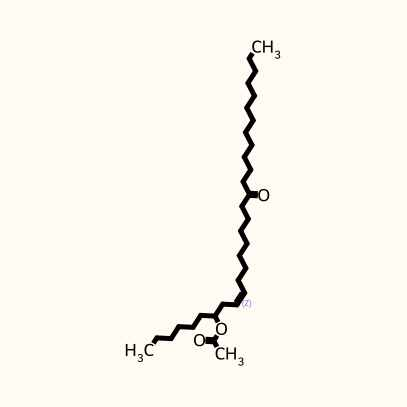 CCCCCCCCCCCCC(=O)CCCCCCC/C=C\CC(CCCCCC)OC(C)=O